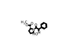 COC(=O)[C@@H]1CCCN1C(=O)C(=NO)c1ccccc1